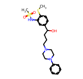 CSc1ccc(C(O)CCCN2CCN(c3ccccc3)CC2)cc1NS(C)(=O)=O